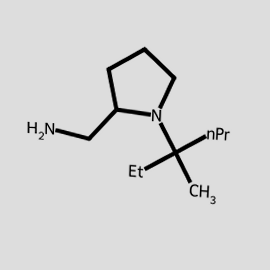 CCCC(C)(CC)N1CCCC1CN